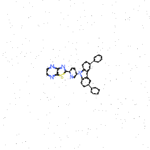 c1ccc(-c2ccc3c(c2)c2cc(-c4ccccc4)ccc2n3-c2ccc(-c3nc4nccnc4s3)nc2)cc1